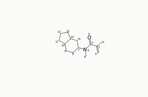 C=C(C)C(=O)N(C)C1CCC2CCCC2C1